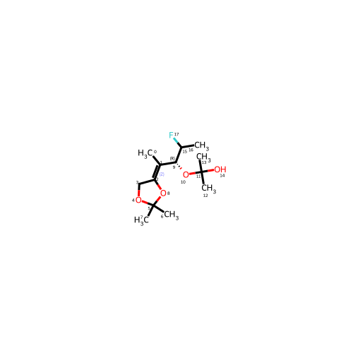 C/C(=C1\COC(C)(C)O1)[C@@H](OC(C)(C)O)C(C)F